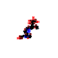 CC(C)[C@H](NC(=O)C[C@@H](c1cn(CCCS(=O)(=O)O)nn1)N1C(=O)C=CC1=O)C(=O)N[C@@H](C)C(=O)NC1C=CC(COC(=O)C(C)(C)C)=C(CC[C@@H]2O[C@H](C(=O)O)[C@@H](O)[C@H](O)[C@H]2O)C1